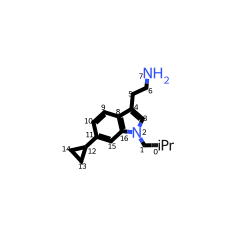 CC(C)Cn1cc(CCN)c2ccc(C3CC3)cc21